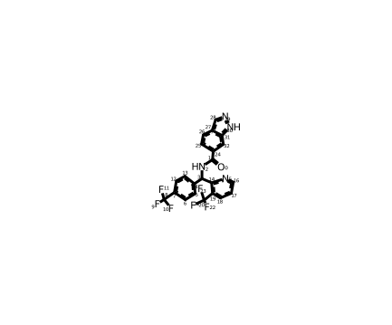 O=C(NC(c1ccc(C(F)(F)F)cc1)c1ncccc1C(F)(F)F)c1ccc2cn[nH]c2c1